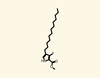 CCCCCCCCCCCCCc1c[nH]c(C(=O)OC)c1F